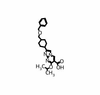 CC(C)Oc1nc2nc(C3CCC(COCc4ccccc4)CC3)cn2cc1C(=O)O